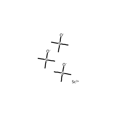 C[Si](C)(C)[O-].C[Si](C)(C)[O-].C[Si](C)(C)[O-].[Sc+3]